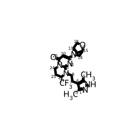 Cc1n[nH]c(C)c1CCN1c2nc(N3CC4CC3CO4)cc(=O)n2CC[C@H]1C(F)(F)F